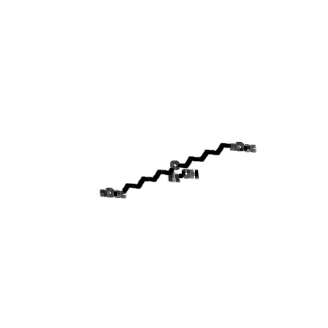 CCCCCCCCCCCCCCCCOCCCCCCCCCCCCCCCC.CCO